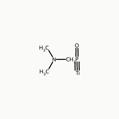 CN(C)C.O=[P]#[Ti]